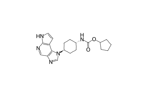 O=C(N[C@H]1CC[C@H](n2cnc3cnc4[nH]ccc4c32)CC1)OC1CCCC1